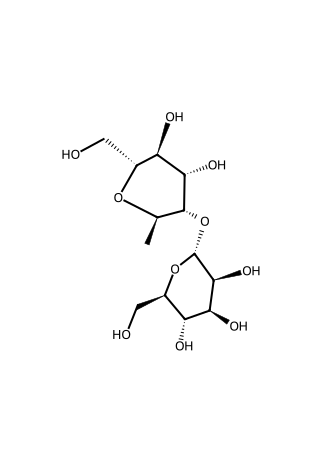 C[C@H]1O[C@H](CO)[C@@H](O)[C@H](O)[C@@H]1O[C@H]1O[C@H](CO)[C@@H](O)[C@H](O)[C@@H]1O